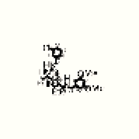 CCC(NC(=O)C(CC(C)C)NC(=O)NCc1cccc(Cl)c1)C(=O)C(=O)NCc1cc(OC)cc(OC)c1